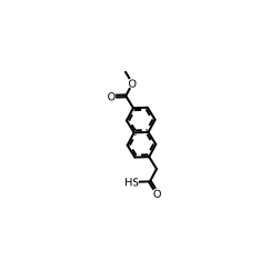 COC(=O)c1ccc2cc(CC(=O)S)ccc2c1